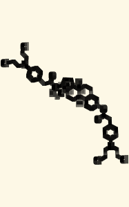 C[C@]12CC[C@@H]3c4ccc(OC(=O)Cc5ccc(N(CCCl)CCCl)cc5)cc4CC[C@H]3[C@@H]1CC[C@@H]2OC(=O)Cc1ccc(N(CCCl)CCCl)cc1